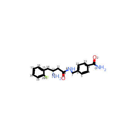 NC(=O)c1ccc(CNC(=O)C[C@H](N)Cc2ccccc2F)cc1